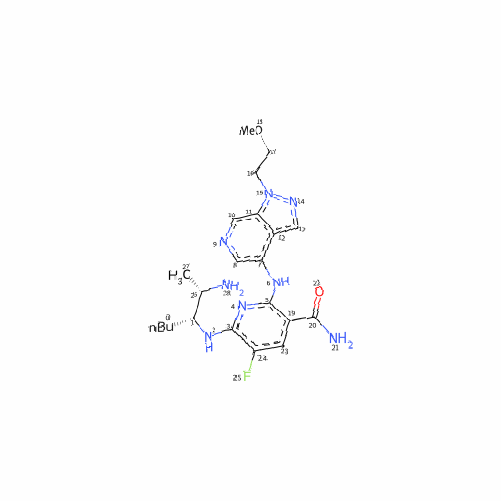 CCCC[C@@H](Nc1nc(Nc2cncc3c2cnn3CCOC)c(C(N)=O)cc1F)[C@H](C)N